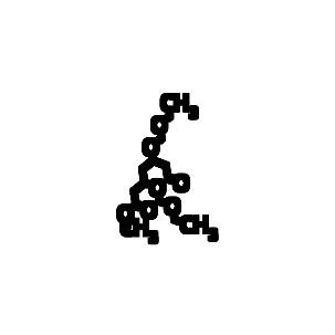 CCOCOC(CC=O)CC(CC(=O)OC)OCOCC